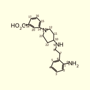 Nc1ccccc1CCNC1CCN(c2cccc(C(=O)O)c2)CC1